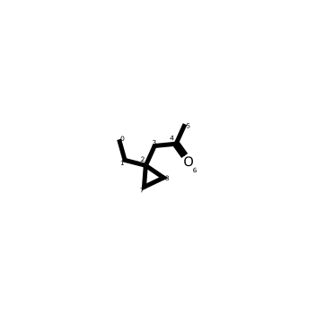 CCC1(CC(C)=O)CC1